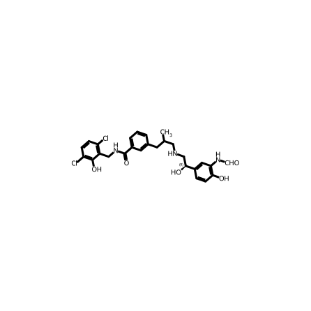 CC(CNC[C@H](O)c1ccc(O)c(NC=O)c1)Cc1cccc(C(=O)NCc2c(Cl)ccc(Cl)c2O)c1